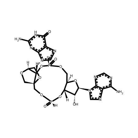 Nc1nc2c(ncn2[C@@H]2O[C@@]34CO[C@@H]2[C@@H]3O[P@@](=O)(S)OC[C@H]2O[C@@H](n3cnc5c(N)ncnc53)[C@H](O)[C@@H]2O[P@@](=O)(S)OC4)c(=O)[nH]1